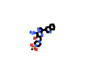 CS(=O)(=O)N1CCN(Cc2nc3c(-c4cnc5ccccc5c4)cnn3c(N)c2Br)CC1